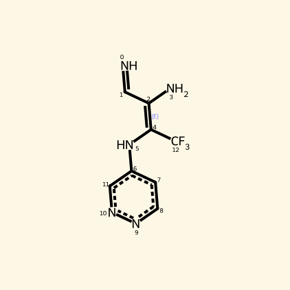 N=C/C(N)=C(\Nc1ccnnc1)C(F)(F)F